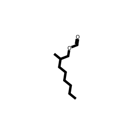 CCCCCCC(C)CO[C]=O